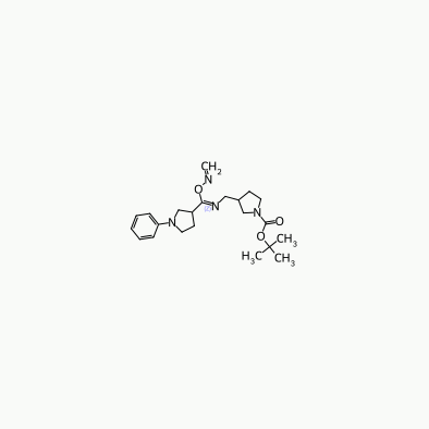 C=NO/C(=N\CC1CCN(C(=O)OC(C)(C)C)C1)C1CCN(c2ccccc2)C1